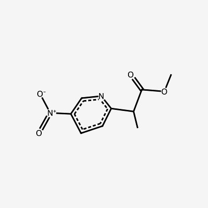 COC(=O)C(C)c1ccc([N+](=O)[O-])cn1